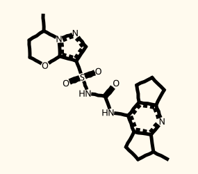 CC1CCc2c1nc1c(c2NC(=O)NS(=O)(=O)c2cnn3c2OCCC3C)CCC1